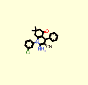 CC1(C)CC(=O)C2=C(C1)N(c1cccc(Cl)c1)C(N)=C(C#N)C2c1ccccc1